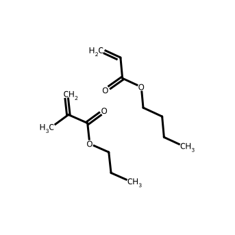 C=C(C)C(=O)OCCC.C=CC(=O)OCCCC